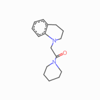 O=C(CN1CCCc2ccccc21)N1CCCCC1